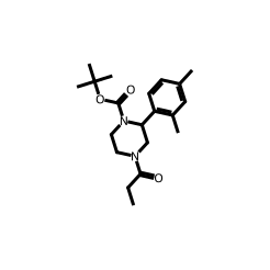 CCC(=O)N1CCN(C(=O)OC(C)(C)C)C(c2ccc(C)cc2C)C1